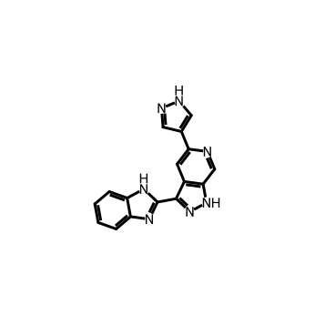 c1ccc2[nH]c(-c3n[nH]c4cnc(-c5cn[nH]c5)cc34)nc2c1